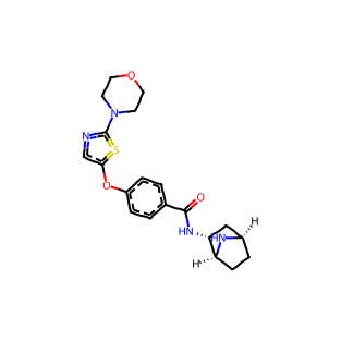 O=C(N[C@@H]1C[C@H]2CC[C@@H]1N2)c1ccc(Oc2cnc(N3CCOCC3)s2)cc1